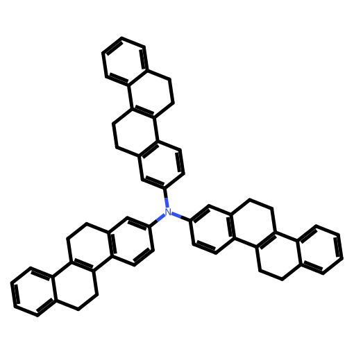 c1ccc2c(c1)CCC1=C2CCc2cc(N(c3ccc4c(c3)CCC3=C4CCc4ccccc43)c3ccc4c(c3)CCC3=C4CCc4ccccc43)ccc21